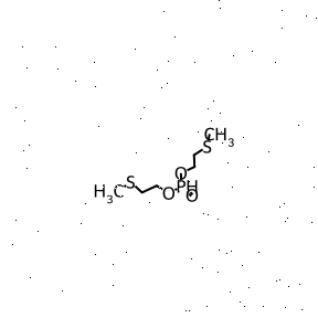 CSCCO[PH](=O)OCCSC